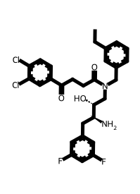 CCc1cccc(CN(C[C@@H](O)[C@@H](N)Cc2cc(F)cc(F)c2)C(=O)CCC(=O)c2ccc(Cl)c(Cl)c2)c1